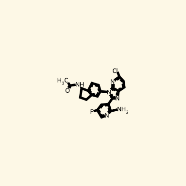 CC(=O)N[C@H]1CCc2cc(-n3c(-c4cc(F)cnc4N)nc4ccc(Cl)nc43)ccc21